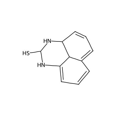 SC1NC2=CC=CC3=CC=CC(N1)C32